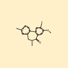 COc1cc2c(cc1F)-c1ccc(C)cc1CN(C)C2=O